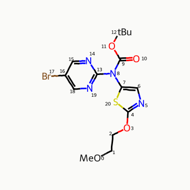 COCCOc1ncc(N(C(=O)OC(C)(C)C)c2ncc(Br)cn2)s1